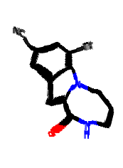 CCc1cc(C#N)cc2cc3n(c12)CCCNC3=O